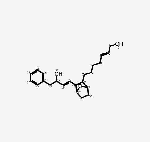 OCC=CCCCCC1C2CCC(O2)C1C=CC(O)Cc1ccccc1